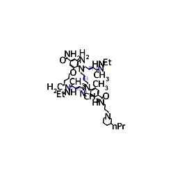 C=CCCCOc1cc(C(N)=O)cc(N)c1N(C/C=C/CN(C(/C=C/C(C)=N\NCC)=N\C)c1ccc(C(=O)NCCCN2CCCC(CCC)C2)cc1C)C/C=C/C(C)=N\NCC